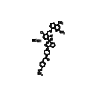 Cc1cc(C)c2cccc(OCc3c(Cl)ccc(S(=O)(=O)N4CCC[C@H]4C(=O)N4CCN(C(=O)Cc5ccc(C=NN)cc5)CC4)c3Cl)c2n1.Cl.Cl